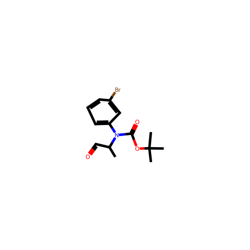 CC(C=O)N(C(=O)OC(C)(C)C)c1cccc(Br)c1